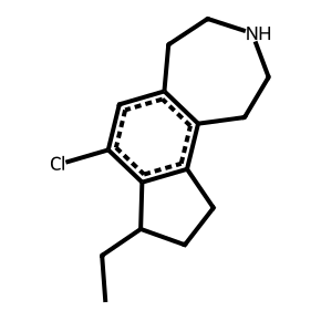 CCC1CCc2c3c(cc(Cl)c21)CCNCC3